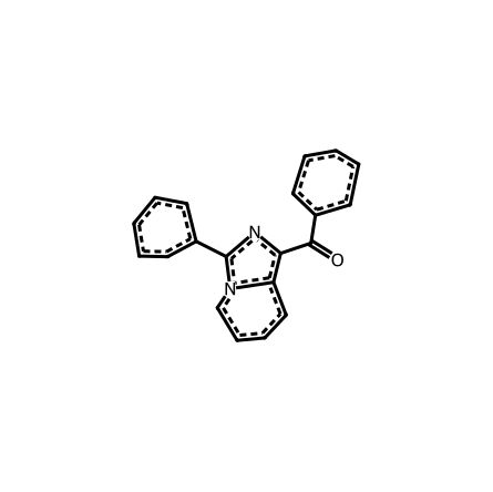 O=C(c1ccccc1)c1nc(-c2ccccc2)n2ccccc12